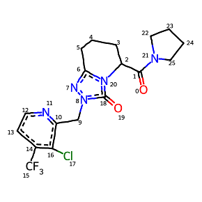 O=C(C1CCCc2nn(Cc3nccc(C(F)(F)F)c3Cl)c(=O)n21)N1CCCC1